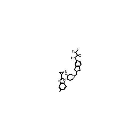 CO[C@H]1CN(CC2Cc3ccc(NC(=O)C(F)F)cc3C2)CC[C@@H]1n1c(C2CC2)nc2cc(C)ccc21